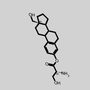 N[C@H](CO)C(=O)Oc1ccc2c(c1)CCC1C2CC[C@]2(CO)CCCC12